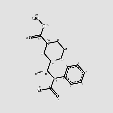 CCC(=O)N(c1ccccc1)[C@H](C)[C@H]1CCCN(C(=O)OC(C)(C)C)C1